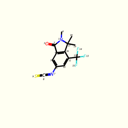 CN1C(=O)c2cc(N=C=S)cc(C(F)(F)F)c2C1(C)C